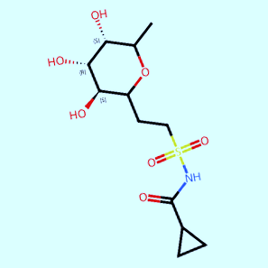 CC1OC(CCS(=O)(=O)NC(=O)C2CC2)[C@@H](O)[C@H](O)[C@@H]1O